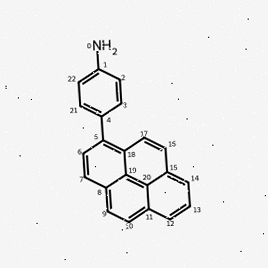 Nc1ccc(-c2ccc3ccc4cccc5ccc2c3c45)cc1